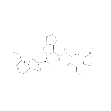 COc1cccc2[nH]c(C(=O)N3CC4CCCC4C3C(=O)N[C@@H](C[C@@H]3CCNC3=O)C(=O)CO)cc12